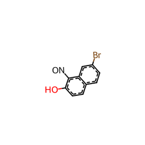 O=Nc1c(O)ccc2ccc(Br)cc12